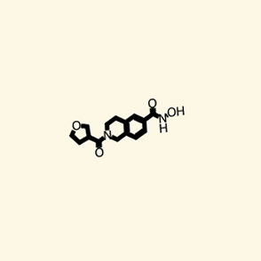 O=C(NO)c1ccc2c(c1)CCN(C(=O)C1CCOC1)C2